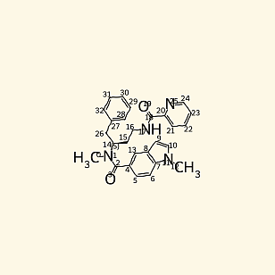 CN(C(=O)c1ccc2c(ccn2C)c1)[C@H](CCNC(=O)c1ccccn1)Cc1ccccc1